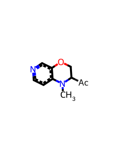 CC(=O)C1COc2cnccc2N1C